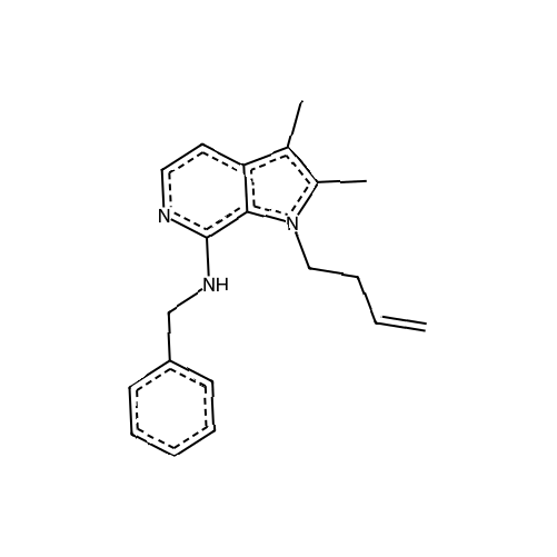 C=CCCn1c(C)c(C)c2ccnc(NCc3ccccc3)c21